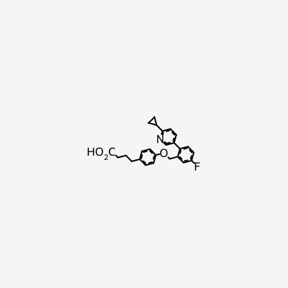 O=C(O)CCCc1ccc(OCc2cc(F)ccc2-c2ccc(C3CC3)nc2)cc1